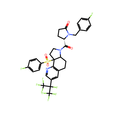 O=C([C@@H]1CCC(=O)N1Cc1ccc(F)cc1)N1CCC2(S(=O)(=O)c3ccc(F)cc3)c3ncc(C(F)(C(F)(F)F)C(F)(F)F)cc3CCC12